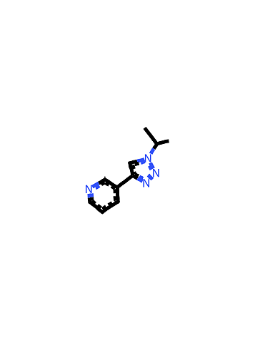 CC(C)n1cc(-c2[c]nccc2)nn1